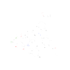 CC(=O)c1ccc(N(c2ccc(C(C)=O)cc2)c2ccc3c(O)c(C(=O)C(F)(F)F)c(=O)n(-c4ccccc4)c3c2)cc1